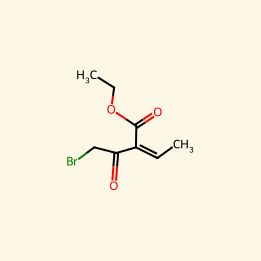 C/C=C(/C(=O)CBr)C(=O)OCC